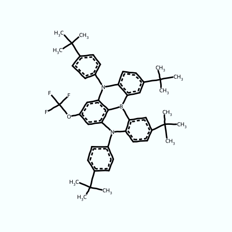 CC(C)(C)c1ccc(N2c3ccc(C(C)(C)C)cc3B3c4cc(C(C)(C)C)ccc4N(c4ccc(C(C)(C)C)cc4)c4cc(OC(F)(F)F)cc2c43)cc1